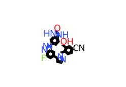 N#Cc1ccc(Cn2nccc2-c2cc(F)c3nnn(-c4ccc5[nH]c(=O)[nH]c5c4)c3c2)c(CO)c1